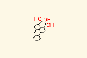 OC1c2ccc3c4c(cc5ccccc53)CCC(c24)C(O)C1O